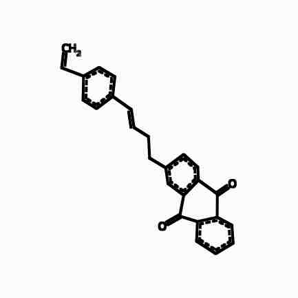 C=Cc1ccc(C=CCCc2ccc3c(c2)C(=O)c2ccccc2C3=O)cc1